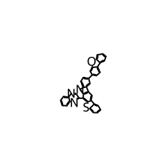 c1ccc2nc3c(nc2c1)c1c2sc4ccccc4c2cc2c4cc(-c5ccc6c(c5)oc5ccccc56)ccc4n3c21